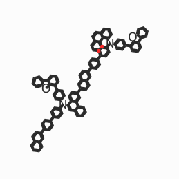 c1ccc2cc(-c3ccc(-c4ccc(N(c5ccc(-c6cccc7c6oc6ccccc67)cc5)c5cc6ccccc6c6cc(-c7ccc8cc(-c9ccc(-c%10ccc(N(c%11ccc(-c%12cccc%13c%12oc%12ccccc%12%13)cc%11)c%11cccc%12ccc%13ccccc%13c%11%12)cc%10)cc9)ccc8c7)ccc56)cc4)cc3)ccc2c1